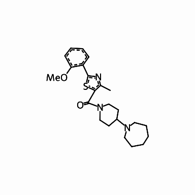 COc1ccccc1-c1nc(C)c(C(=O)N2CCC(N3CCCCCC3)CC2)s1